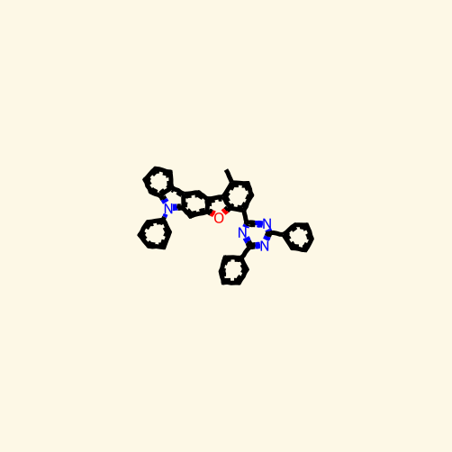 Cc1ccc(-c2nc(-c3ccccc3)nc(-c3ccccc3)n2)c2oc3cc4c(cc3c12)c1ccccc1n4-c1ccccc1